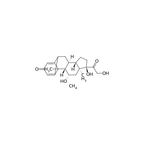 C.CC12C3=CC(=O)C=C1C3C[C@@H]1[C@@H]2[C@@H](O)C[C@@]2(C)[C@H]1CC[C@]2(O)C(=O)CO